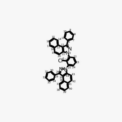 Clc1c(-n2nc(-c3ccccc3)c3c4ccccc4ccc32)cccc1-n1nc(-c2ccccc2)c2c3ccccc3ccc21